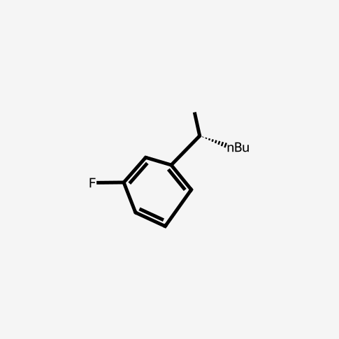 CCCC[C@@H](C)c1cccc(F)c1